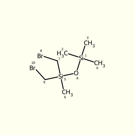 C[Si](C)(C)O[Si](C)(CBr)CBr